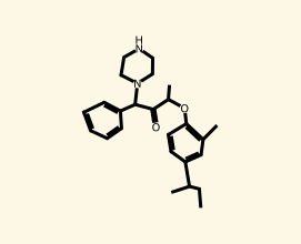 CCC(C)c1ccc(OC(C)C(=O)C(c2ccccc2)N2CCNCC2)c(C)c1